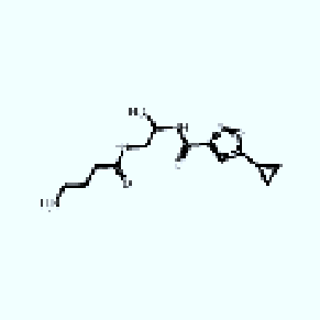 CC(CNC(=O)CCCN)NC(=O)c1cc(C2CC2)on1